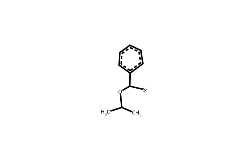 CC(C)OC([S])c1ccccc1